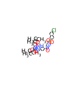 CC(C)(C)OC(=O)/N=C(/NC(=O)OC(C)(C)C)Nc1ccc(C(=O)N2CCN(S(=O)(=O)c3ccc4cc(Cl)ccc4c3)CC2)cc1